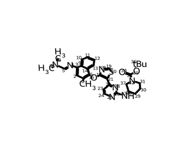 Cc1cc(N=CN(C)C)c2ccccc2c1Oc1ncsc1-c1ccnc(N[C@H]2CCCN(C(=O)OC(C)(C)C)C2)n1